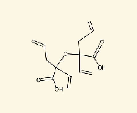 C=CCC(C=C)(OC(C=C)(CC=C)C(=O)O)C(=O)O